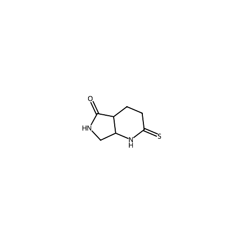 O=C1NCC2NC(=S)CCC12